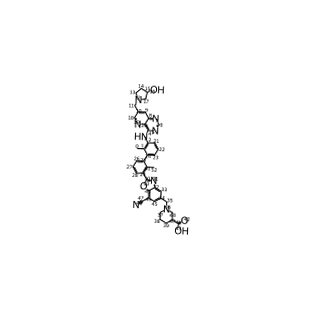 Cc1c(Nc2ncnc3cc(CN4CCC(O)C4)cnc23)cccc1-c1cccc(-c2nc3cc(CN4CCCC(C(=O)O)C4)cc(C#N)c3o2)c1C